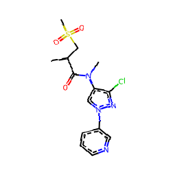 CC(CS(C)(=O)=O)C(=O)N(C)c1cn(-c2cccnc2)nc1Cl